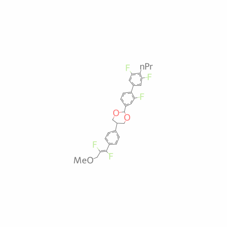 CCCc1c(F)cc(-c2ccc(C3OCC(c4ccc(/C(F)=C(\F)COC)cc4)CO3)cc2F)cc1F